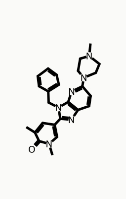 Cc1cc(-c2nc3ccc(N4CCN(C)CC4)nc3n2Cc2ccccc2)cn(C)c1=O